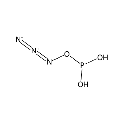 [N-]=[N+]=NOP(O)O